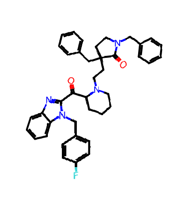 O=C(c1nc2ccccc2n1Cc1ccc(F)cc1)C1CCCCN1CCC1(Cc2ccccc2)CCN(Cc2ccccc2)C1=O